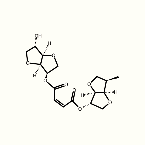 C[C@@H]1CO[C@H]2[C@@H]1OC[C@@H]2OC(=O)/C=C\C(=O)O[C@@H]1CO[C@H]2[C@@H]1OC[C@@H]2O